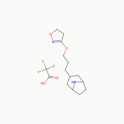 C(COC1=NOCC1)CC1CC2CCC(C1)N2.O=C(O)C(F)(F)F